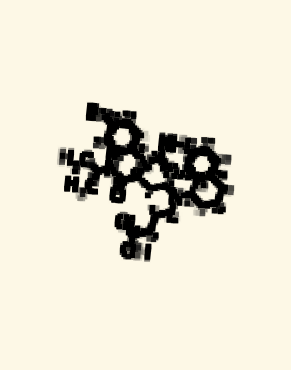 CC(C)NC(=O)[C@H](CCN(CCCC(=O)O)C1CCCc2ccccc21)N(C(N)=O)c1ccc(Br)cc1